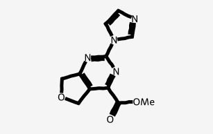 COC(=O)c1nc(-n2ccnc2)nc2c1COC2